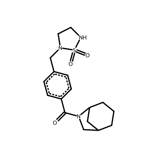 O=C(c1ccc(CN2CCNS2(=O)=O)cc1)N1CC2CCCC1C2